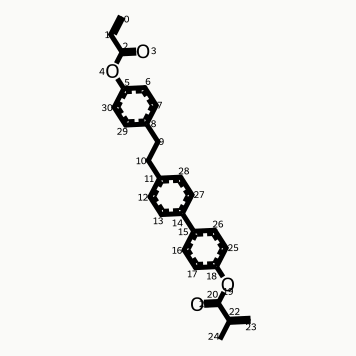 C=CC(=O)Oc1ccc(CCc2ccc(-c3ccc(OC(=O)C(=C)C)cc3)cc2)cc1